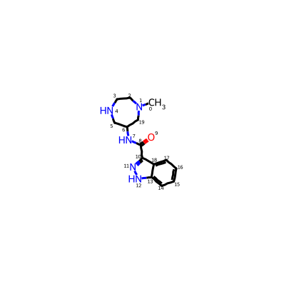 CN1CCNCC(NC(=O)c2n[nH]c3ccccc23)C1